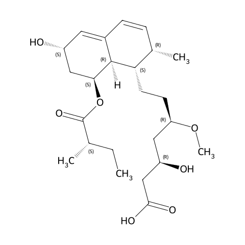 CC[C@H](C)C(=O)O[C@H]1C[C@H](O)C=C2C=C[C@H](C)[C@H](CC[C@H](C[C@@H](O)CC(=O)O)OC)[C@H]21